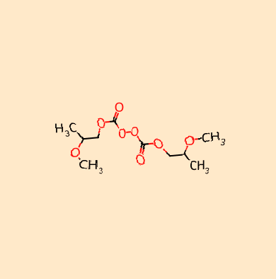 COC(C)COC(=O)OOC(=O)OCC(C)OC